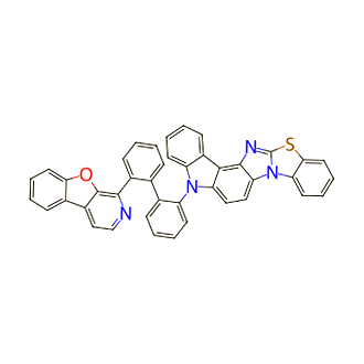 c1ccc(-c2nccc3c2oc2ccccc23)c(-c2ccccc2-n2c3ccccc3c3c4nc5sc6ccccc6n5c4ccc32)c1